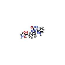 CN1CC[C@@](O)(C#Cc2ccc3c(c2)-c2nc(C(N)=O)n(Cc4nn(C)c5ccccc45)c2C2CC3C2)C1=O